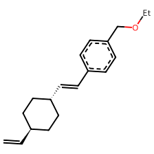 C=C[C@H]1CC[C@H](/C=C/c2ccc(COCC)cc2)CC1